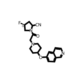 N#CC1C[C@H](F)CN1C(=O)CN1CCC(Oc2ccc3cnccc3c2)CC1